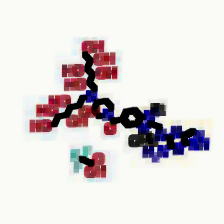 CCn1c(CN(C=O)c2nc3cn[nH]c3nc2N)[n+](CC)c2ccc(C(=O)N3CCC(N(C[C@H](O)[C@@H](O)[C@H](O)[C@H](O)CO)C[C@H](O)[C@@H](O)[C@H](O)[C@H](O)CO)CC3)cc21.O=C(O)C(F)(F)F